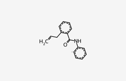 C=CCc1ccccc1C(=O)Nc1[c]cccc1